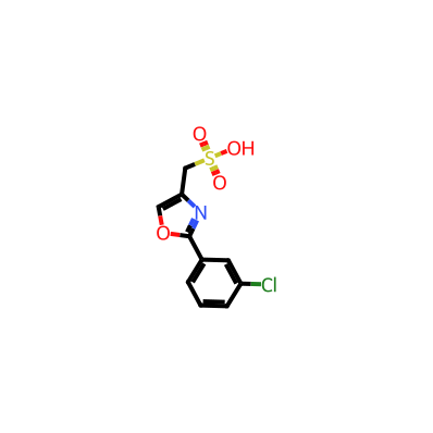 O=S(=O)(O)Cc1coc(-c2cccc(Cl)c2)n1